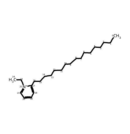 CCCCCCCCCCCCCCCCCc1cccc[n+]1CC